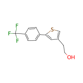 OCCc1csc(-c2ccc(C(F)(F)F)cc2)c1